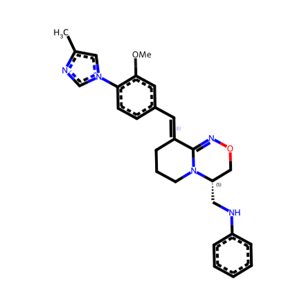 COc1cc(/C=C2\CCCN3C2=NOC[C@@H]3CNc2ccccc2)ccc1-n1cnc(C)c1